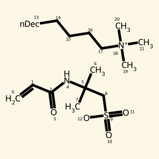 C=CC(=O)NC(C)(C)CS(=O)(=O)[O-].CCCCCCCCCCCCCC[N+](C)(C)C